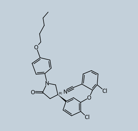 CCCCCOc1ccc(N2C[C@@H](c3ccc(Cl)c(Oc4c(Cl)cccc4C#N)c3)CC2=O)cc1